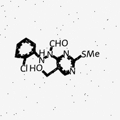 CSc1ncc(CO)c(N(C=O)Nc2ccccc2Cl)n1